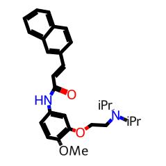 COc1ccc(NC(=O)C=Cc2ccc3ccccc3c2)cc1OCCN(C(C)C)C(C)C